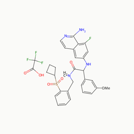 COc1cccc(C(Nc2cc(F)c3c(N)nccc3c2)C(=O)N(C)Cc2ccccc2S(=O)(=O)C2CCC2)c1.O=C(O)C(F)(F)F